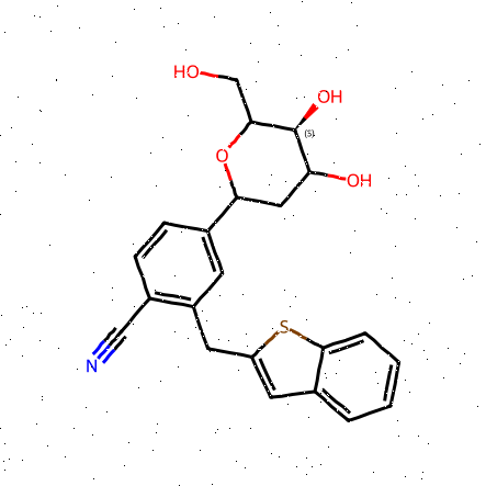 N#Cc1ccc(C2CC(O)[C@H](O)C(CO)O2)cc1Cc1cc2ccccc2s1